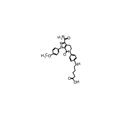 COc1ccc(-n2nc(C(N)=O)c3c2C(=O)N(c2ccc(NCCCCC(=O)O)cc2)CC3)cc1